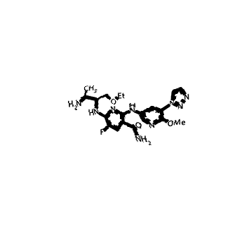 CCOC[C@@H](Nc1nc(Nc2cnc(OC)c(-n3ccnn3)c2)c(C(N)=O)cc1F)[C@H](C)N